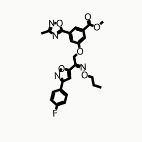 CCCON=C(COc1cc(C(=O)OC)cc(-c2nc(C)no2)c1)c1cc(-c2ccc(F)cc2)no1